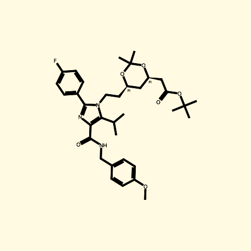 COc1ccc(CNC(=O)c2nc(-c3ccc(F)cc3)n(CC[C@@H]3C[C@H](CC(=O)OC(C)(C)C)OC(C)(C)O3)c2C(C)C)cc1